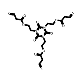 O=C(CC=S)OCCn1c(=O)n(CCOC(=O)CC=S)c(=O)n(CCOC(=O)CC=S)c1=O